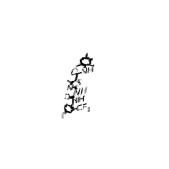 Cc1cc(C)c(NC(=O)c2sc(NC(=O)Nc3ccc(F)cc3C(F)(F)F)nc2C)c(C)c1